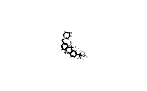 CC(C)(C)c1ccc2c(c1)C(C)(C)c1cc(CN3CCNCC3)ccc1N2